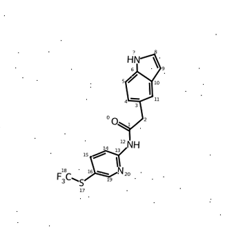 O=C(Cc1ccc2[nH]ccc2c1)Nc1ccc(SC(F)(F)F)cn1